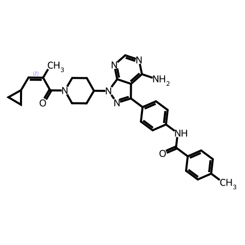 C/C(=C/C1CC1)C(=O)N1CCC(n2nc(-c3ccc(NC(=O)c4ccc(C)cc4)cc3)c3c(N)ncnc32)CC1